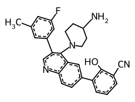 Cc1cc(F)cc(-c2cnc3ccc(-c4cccc(C#N)c4O)cc3c2N2CCC(N)CC2)c1